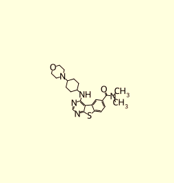 CN(C)C(=O)c1ccc2sc3ncnc(NC4CCC(N5CCOCC5)CC4)c3c2c1